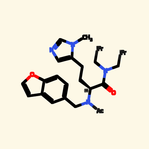 CC(=O)N(Cc1ccc2occc2c1)[C@@H](CCc1cncn1C)C(=O)N(CC(C)C)CC(C)C